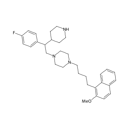 COc1ccc2ccccc2c1CCCCN1CCN(CC(c2ccc(F)cc2)C2CCNCC2)CC1